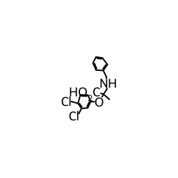 CC(CNCc1ccccc1)(Oc1ccc(Cl)c(Cl)c1)C(=O)O